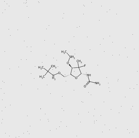 C[SiH2]O[C@@H]1[C@@H](CO[SiH2]C(C)(C)C)O[C@@H](NC(N)=O)C1(C)F